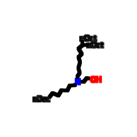 CCCCCCCCCCCCCCCCN(CCO)CCCCCCCC(CCCCCCCC)CCCCCCCC